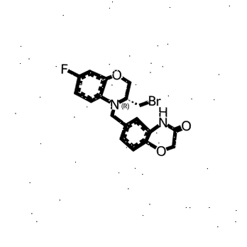 O=C1COc2ccc(CN3c4ccc(F)cc4OC[C@@H]3CBr)cc2N1